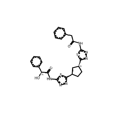 O=C(Cc1ccccc1)Nc1nnc([C@H]2CCC(c3nnc(NC(=O)[C@@H](O)c4ccccc4)s3)C2)s1